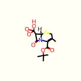 CC1=C(C(=O)OC(C)(C)C)N2C(=O)C(C3(O)OO3)[C@@H]2SC1